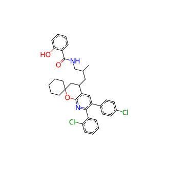 CC(CNC(=O)c1ccccc1O)CC1CC2(CCCCC2)Oc2nc(-c3ccccc3Cl)c(-c3ccc(Cl)cc3)cc21